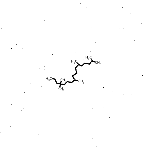 CCCC(C)(C)CCCC(C)CCCC(C)CCCC(C)C